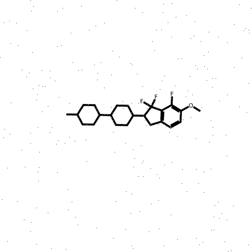 COc1ccc2c(c1F)C(F)(F)C(C1CCC(C3CCC(C)CC3)CC1)C2